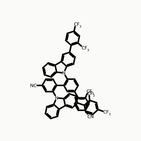 N#Cc1ccc(-c2cc(-c3ccc(C#N)cc3C(F)(F)F)ccc2-n2c3ccccc3c3cc(-c4ccc(C(F)(F)F)cc4C(F)(F)F)ccc32)c(-n2c3ccccc3c3cc(-c4ccc(C(F)(F)F)cc4C(F)(F)F)ccc32)c1